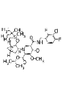 COc1c(C(=O)OC(C)C)n([C@H]2C[C@@H]3C[C@@H]3C2O[Si](C)(C)C(C)(C)C)cc(C(=O)NCc2ccc(F)c(Cl)c2F)c1=O